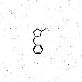 FC(F)(F)C1CCN(Cc2ccccc2)C1